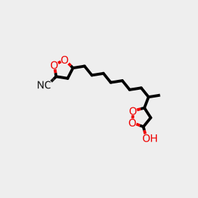 CC(CCCCCCCC1CC(C#N)OO1)C1CC(O)OO1